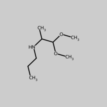 CCCNC(C)C(OC)OC